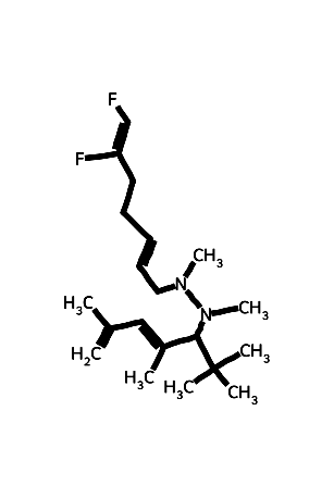 C=C(C)/C=C(\C)C(N(C)N(C)C/C=C/CC/C(F)=C/F)C(C)(C)C